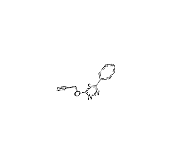 C#CCOc1nnc(-c2ccccc2)s1